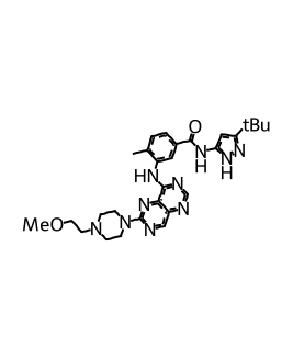 COCCN1CCN(c2ncc3ncnc(Nc4cc(C(=O)Nc5cc(C(C)(C)C)n[nH]5)ccc4C)c3n2)CC1